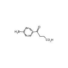 Bc1ccc(C(=O)CCC(=O)O)cc1